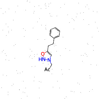 CC(=O)CN1C=C(CCc2ccccc2)ON1